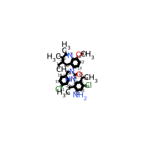 CCC1=C(C)C(C)=Nc2c(OC)ccc(N(Cc3ccc(Cl)cc3)C(=O)Nc3c(CC)c(N)cc(Cl)c3CC)c2C1